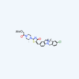 COCC(=O)N1CCN(C2=NC(=O)C(=Cc3ccc4c(cnn4Cc4ccc(Cl)cc4C(F)(F)F)c3)S2)[C@H](C)C1